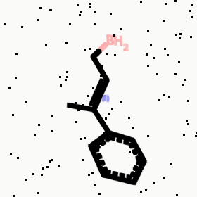 BC/C=C(\C)c1ccccc1